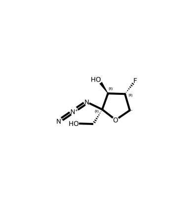 [N-]=[N+]=N[C@]1(CO)O[CH][C@@H](F)[C@@H]1O